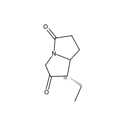 CC[C@@H]1C(=O)CN2C(=O)CCC12